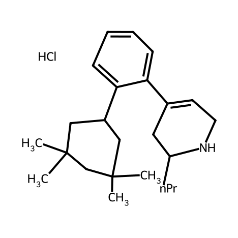 CCCC1CC(c2ccccc2C2CC(C)(C)CC(C)(C)C2)=CCN1.Cl